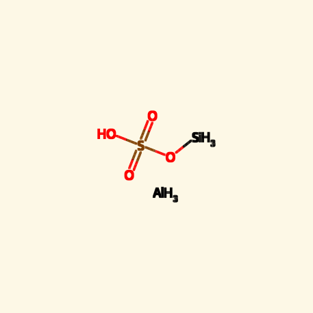 O=S(=O)(O)O[SiH3].[AlH3]